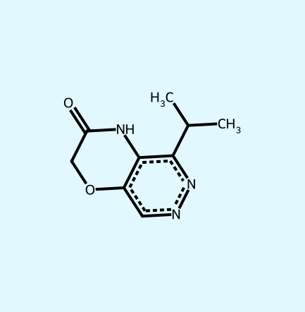 CC(C)c1nncc2c1NC(=O)CO2